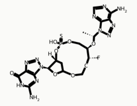 C[C@@H](O[C@@H]1COP(O)(=S)O[C@@H]2CC(OCC[C@H]1F)O[C@H]2n1nnc2c(=O)[nH]c(N)nc21)n1nnc2c(N)ncnc21